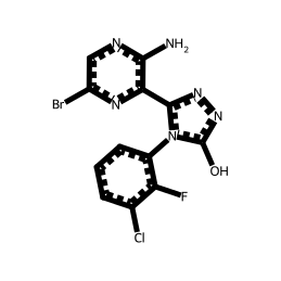 Nc1ncc(Br)nc1-c1nnc(O)n1-c1cccc(Cl)c1F